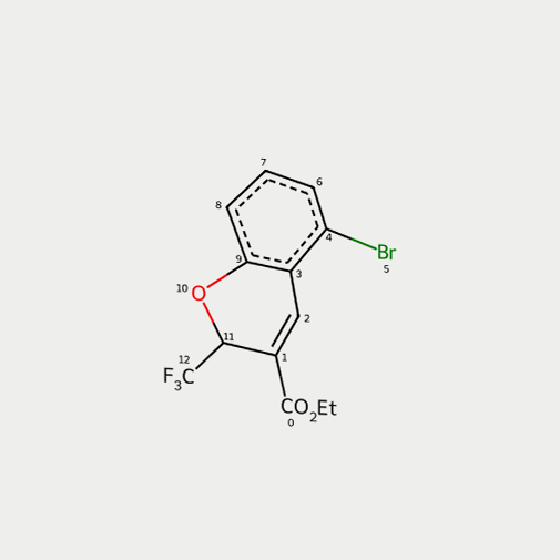 CCOC(=O)C1=Cc2c(Br)cccc2OC1C(F)(F)F